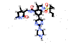 C=CCC1(S(=O)(=O)n2cc(C)c3c(C(=O)NCc4c(C)cc(C)[nH]c4=O)cc(-c4cnc(N5CCN(C)CC5)nc4)cc32)CC1